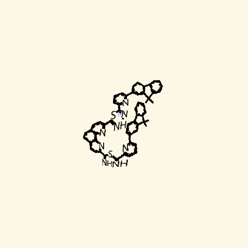 C/N=C(\SC(=N)c1ccc2ccc3ccc(C(=N)SC(=N)c4cccc(-c5ccc6c(c5)C(C)(C)c5ccccc5-6)n4)nc3c2n1)c1cccc(-c2ccc3c(c2)C(C)(C)c2ccccc2-3)n1